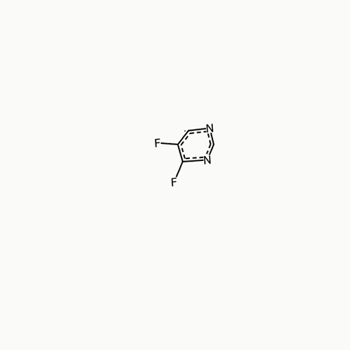 Fc1[c]ncnc1F